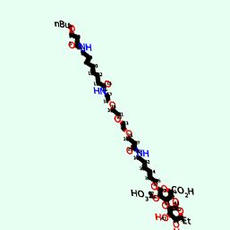 CCCCOCCC(=O)NCCCCCCCC(=O)NCCOCCOCCOCCC(=O)NCCCCCCOC1OC(C(=O)O)C(OC2CC(O)C(O)C(CC)O2)C(O)C1OS(=O)(=O)O